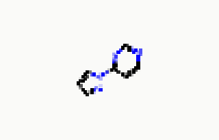 c1cnn(-c2ccncn2)c1